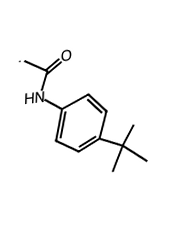 [CH2]C(=O)Nc1ccc(C(C)(C)C)cc1